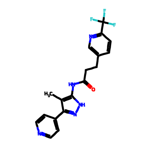 Cc1c(-c2ccncc2)n[nH]c1NC(=O)CCc1ccc(C(F)(F)F)nc1